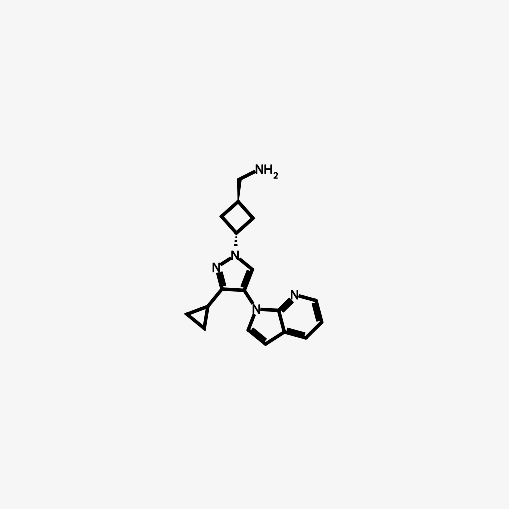 NC[C@H]1C[C@H](n2cc(-n3ccc4cccnc43)c(C3CC3)n2)C1